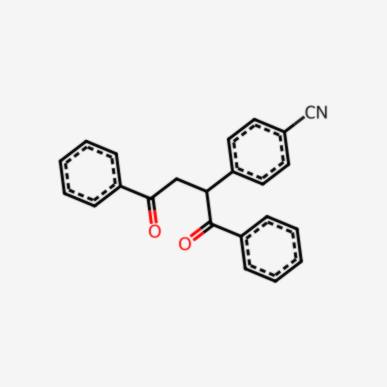 N#Cc1ccc(C(CC(=O)c2ccccc2)C(=O)c2ccccc2)cc1